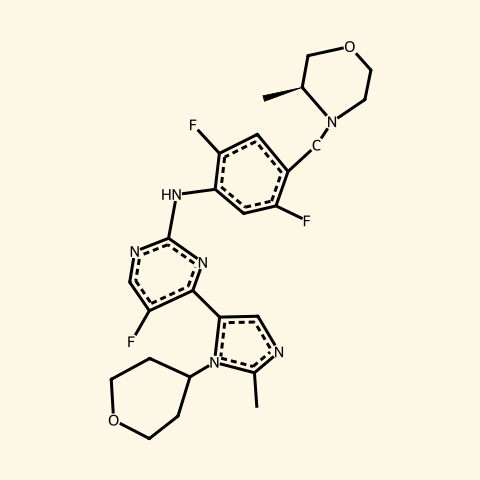 Cc1ncc(-c2nc(Nc3cc(F)c(CN4CCOC[C@@H]4C)cc3F)ncc2F)n1C1CCOCC1